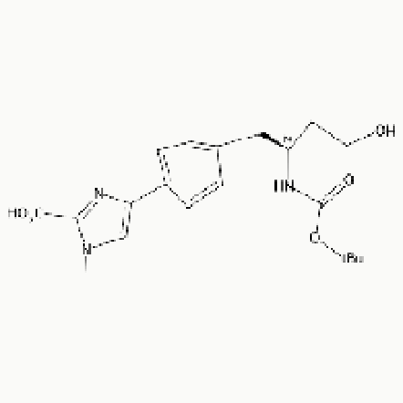 Cn1cc(-c2ccc(C[C@@H](CCO)NC(=O)OC(C)(C)C)cc2)nc1C(=O)O